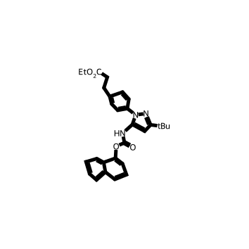 CCOC(=O)CCc1ccc(-n2nc(C(C)(C)C)cc2NC(=O)Oc2cccc3ccccc23)cc1